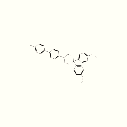 COc1ccc(C2(c3ccc(OC)cc3)OCC(c3ccc(-c4ccc(I)cc4)cc3)CO2)cc1